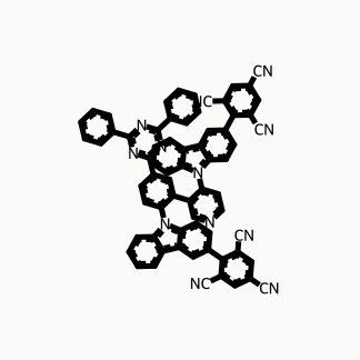 N#Cc1cc(C#N)c(-c2ccc3c(c2)c2ccccc2n3-c2ccncc2-c2cc(-c3nc(-c4ccccc4)nc(-c4ccccc4)n3)ccc2-n2c3ccccc3c3cc(-c4c(C#N)cc(C#N)cc4C#N)ccc32)c(C#N)c1